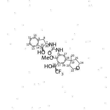 COc1c(NC(=O)N[C@@H]2Cc3ccccc3[C@@H]2O)cc(C2(C)CCOCC2)cc1[C@H](O)C(F)(F)F